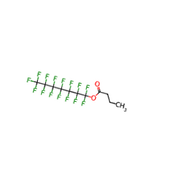 CCCC(=O)OC(F)(F)C(F)(F)C(F)(F)C(F)(F)C(F)(F)C(F)(F)C(F)(F)F